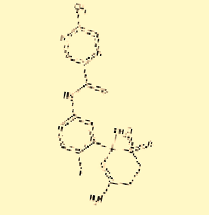 Cc1cnc(C(=O)Nc2ccc(F)c(C3(C)N=C(N)CCS3(=O)=O)c2)cn1